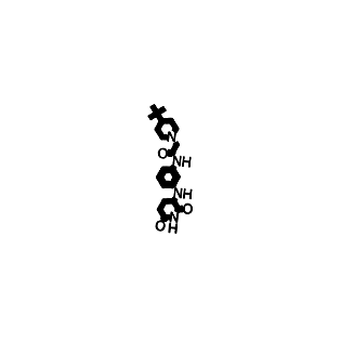 CC(C)(C)C1CCN(CC(=O)Nc2cccc(NC3CCC(=O)NC3=O)c2)CC1